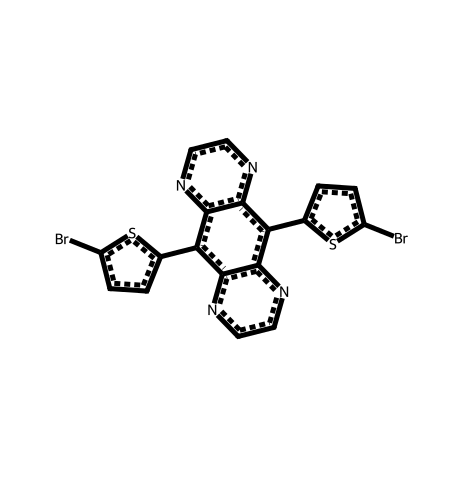 Brc1ccc(-c2c3nccnc3c(-c3ccc(Br)s3)c3nccnc23)s1